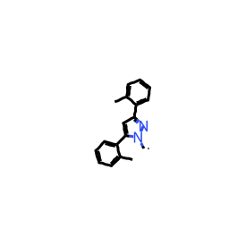 [CH2]n1nc(-c2ccccc2C)cc1-c1ccccc1C